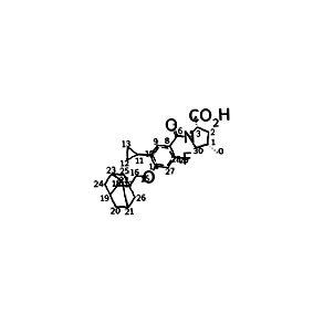 C[C@H]1C[C@@H](C(=O)O)N(C(=O)c2cc(C3CC3)c(OCC34CC5CC(CC(C5)C3)C4)cc2F)C1